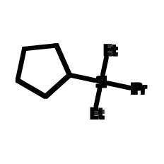 CC[Si](CC)(C(C)C)C1CCCC1